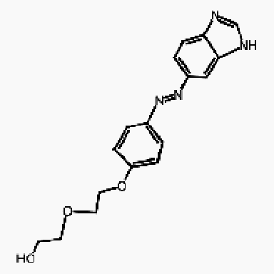 OCCOCCOc1ccc(N=Nc2ccc3nc[nH]c3c2)cc1